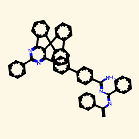 C=C(/N=C(\N=C(/N)c1ccc(-c2ccc(-c3nc(-c4ccccc4)nc4c3C3(c5ccccc5-c5ccccc53)c3ccccc3-4)cc2)cc1)c1ccccc1)c1ccccc1